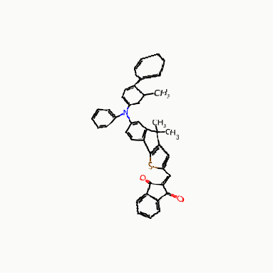 CC1CC(N(c2ccccc2)c2ccc3c(c2)C(C)(C)c2cc(C=C4C(=O)c5ccccc5C4=O)sc2-3)=CC=C1C1=CCCC=C1